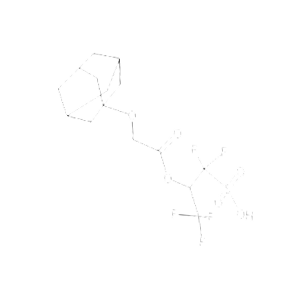 O=C(COC12CC3CC(CC(C3)C1)C2)OC(C(F)(F)F)C(F)(F)S(=O)(=O)O